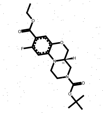 CCOC(=O)c1cc2c(cc1F)N1CCN(C(=O)OC(C)(C)C)C[C@H]1CO2